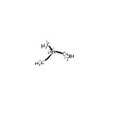 C[15N](C)C.Cl